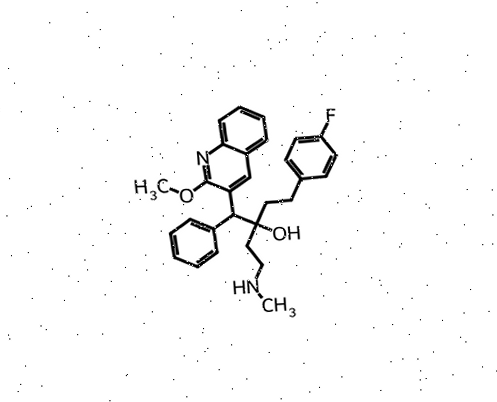 CNCCC(O)(CCc1ccc(F)cc1)C(c1ccccc1)c1cc2ccccc2nc1OC